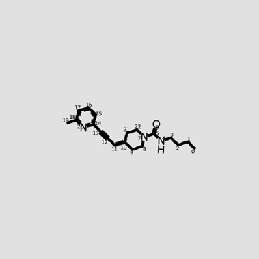 CCCCNC(=O)N1CCC(=CC#Cc2cccc(C)n2)CC1